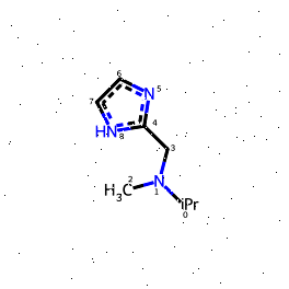 CC(C)N(C)Cc1ncc[nH]1